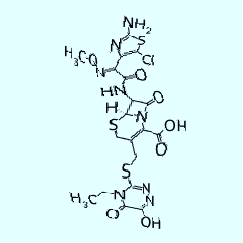 CCn1c(SCC2=C(C(=O)O)N3C(=O)C(NC(=O)C(=NOC)c4nc(N)sc4Cl)[C@@H]3SC2)nnc(O)c1=O